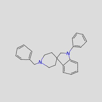 c1ccc(CN2CCC3(CC2)CN(c2ccccc2)c2ccccc23)cc1